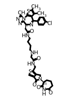 Cc1sc2c(c1C)C(c1ccc(Cl)cc1)=N[C@@H](CC(=O)NCCCCNCC(=O)NCc1scc3c1CN([C@H]1CCCC(=O)NC1=O)C3=O)c1nnc(C)n1-2